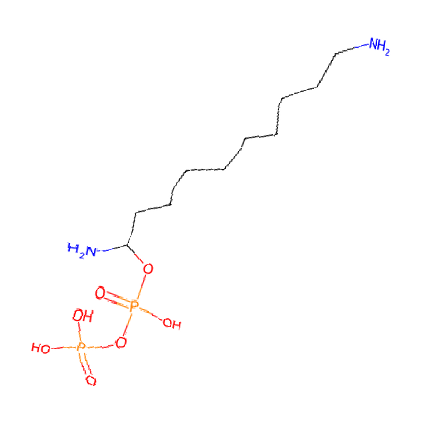 NCCCCCCCCCC(N)OP(=O)(O)OP(=O)(O)O